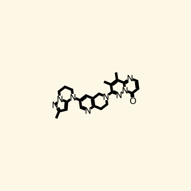 Cc1cc2n(n1)CCCN2c1cnc2c(c1)CN(c1nn3c(=O)ccnc3c(C)c1C)CC2